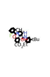 CCOC(=O)C1CCC([C@H]2[C@@H](C(O)Nc3cccc(C(C)(C)C)c3)CCCN2C(=O)c2c(C)cccc2F)CC1